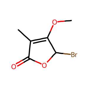 COC1=C(C)C(=O)OC1Br